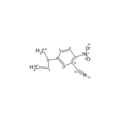 [CH2]C(C=C)c1ccc([N+](=O)[O-])c(C#N)c1